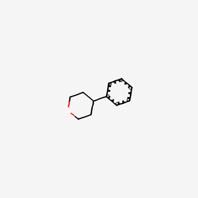 [CH]1CC(c2ccccc2)CCO1